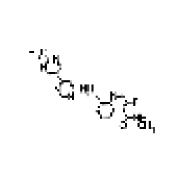 CNC(=O)c1c(F)cnc2c(CCNc3cc(-c4cnc(C)nc4)ncn3)cccc12